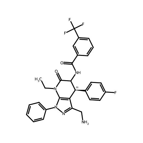 CCN1C(=O)C(NC(=O)c2cccc(C(F)(F)F)c2)[C@@H](c2ccc(F)cc2)c2c(CN)nn(-c3ccccc3)c21